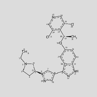 CCN1CC[C@H](n2cc(-c3n[nH]c4ccc(O[C@H](C)c5c(Cl)cncc5Cl)cc34)cn2)C1